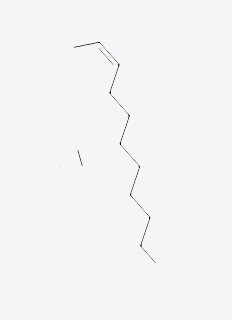 CCCCCCCC/C=C\CCCCCCCC(=O)O.CCO.[Zn]